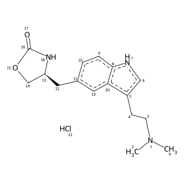 CN(C)CCc1c[nH]c2ccc(C[C@H]3COC(=O)N3)cc12.Cl